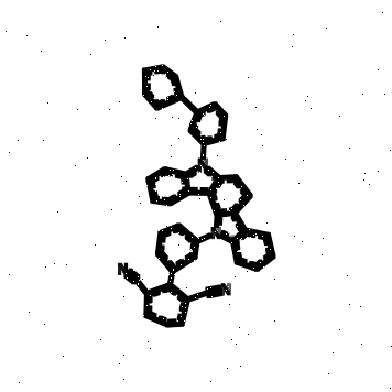 N#Cc1cccc(C#N)c1-c1cccc(-n2c3ccccc3c3ccc4c(c5ccccc5n4-c4cccc(-c5ccccc5)c4)c32)c1